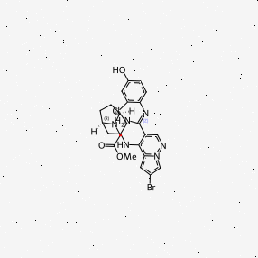 COC(=O)CN1[C@@H]2CC[C@H]1CC(Nc1c(/C(N)=N/c3ccc(O)cc3Cl)cnn3cc(Br)cc13)C2